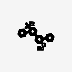 CCC(C)Oc1ccc(-c2ccc(C(C)(C)CC)c(-c3ccccc3)c2)cc1-c1ccccc1